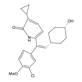 COc1ccc(C(=C[C@H]2CC[C@@H](O)CC2)c2ccc(C3CC3)c(=O)[nH]2)cc1Cl